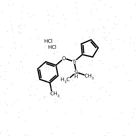 Cc1cccc([O][Ti]([C]2=CC=CC2)[SiH](C)C)c1.Cl.Cl